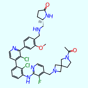 COc1cc(-c2nccc(-c3cccc(Nc4nccc(CN5CC6(CCN(C(C)=O)C6)C5)c4F)c3Cl)c2Cl)ccc1CNC[C@@H]1CCC(=O)N1